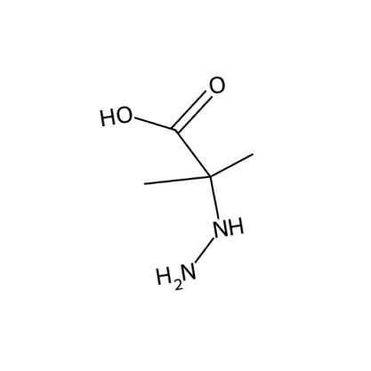 CC(C)(NN)C(=O)O